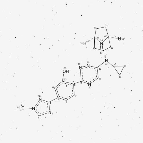 Cn1cnc(-c2ccc(-c3ncc(N(C4CC4)[C@@H]4C[C@H]5CC[C@@H](C4)N5)nn3)c(O)c2)n1